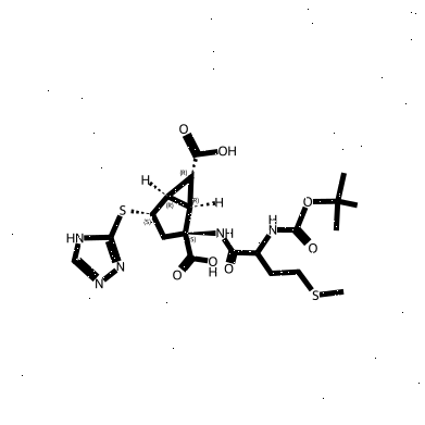 CSCCC(NC(=O)OC(C)(C)C)C(=O)N[C@@]1(C(=O)O)C[C@H](Sc2nnc[nH]2)[C@H]2[C@H](C(=O)O)[C@H]21